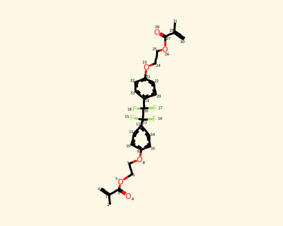 C=C(C)C(=O)OCCOc1ccc(C(F)(F)C(F)(F)c2ccc(OCCOC(=O)C(=C)C)cc2)cc1